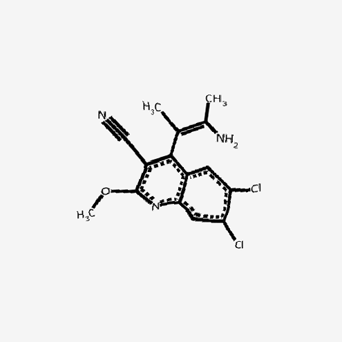 COc1nc2cc(Cl)c(Cl)cc2c(C(C)=C(C)N)c1C#N